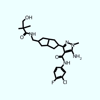 Cn1nc(C2CC3CC(CNC(=O)C(C)(C)CO)CC3C2)c(C(=O)Nc2ccc(F)c(Cl)c2)c1N